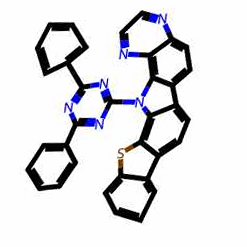 c1ccc(-c2nc(-c3ccccc3)nc(-n3c4c(ccc5nccnc54)c4ccc5c6ccccc6sc5c43)n2)cc1